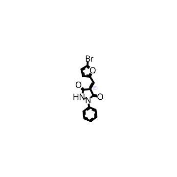 O=C1NN(c2ccccc2)C(=O)/C1=C/c1ccc(Br)o1